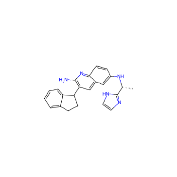 C[C@@H](Nc1ccc2nc(N)c(C3CCc4ccccc43)cc2c1)c1ncc[nH]1